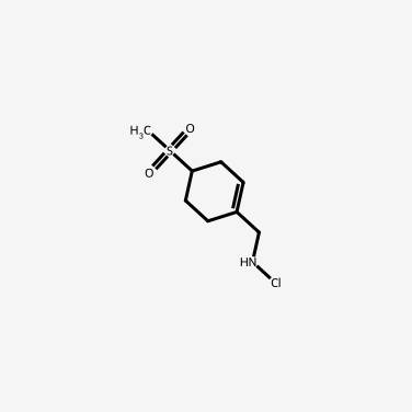 CS(=O)(=O)C1CC=C(CNCl)CC1